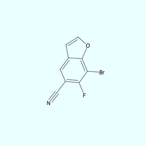 N#Cc1cc2ccoc2c(Br)c1F